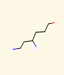 Cl.Cl.NCCC(N)CCCO